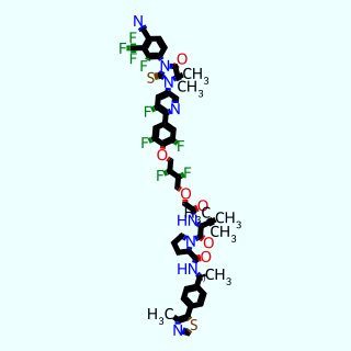 Cc1ncsc1-c1ccc([C@H](C)NC(=O)C2CCCN2C(=O)C(NC(=O)COCC(F)C(F)COc2c(F)cc(-c3ncc(N4C(=S)N(c5ccc(C#N)c(C(F)(F)F)c5F)C(=O)C4(C)C)cc3F)cc2F)C(C)(C)C)cc1